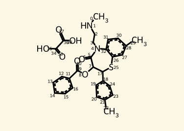 CNCCN1C(=O)C(OC(=O)c2ccccc2)C(c2ccc(C)cc2)Sc2cc(C)ccc21.O=C(O)C(=O)O